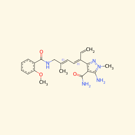 C=C/C(=C\C=C(/C)CNC(=O)c1ccccc1OC)c1nn(C)c(N)c1C(N)=O